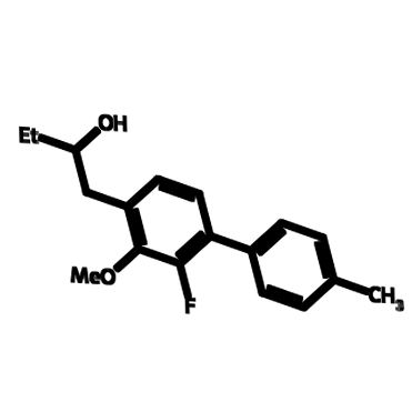 CCC(O)Cc1ccc(-c2ccc(C)cc2)c(F)c1OC